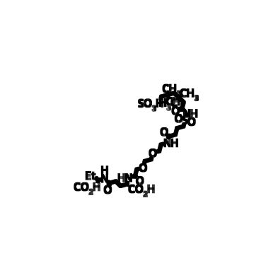 CCC(NC(=O)CC[C@H](NC(=O)COCCOCCNC(=O)CCCS(=O)(=O)NC(=O)CC(C)(C)CC(C)(C)CS(=O)(=O)O)C(=O)O)C(=O)O